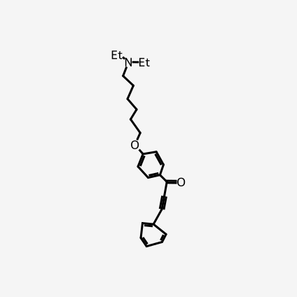 CCN(CC)CCCCCCOc1ccc(C(=O)C#Cc2ccccc2)cc1